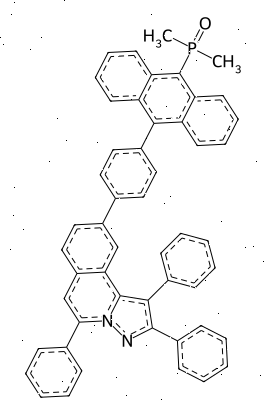 CP(C)(=O)c1c2ccccc2c(-c2ccc(-c3ccc4cc(-c5ccccc5)n5nc(-c6ccccc6)c(-c6ccccc6)c5c4c3)cc2)c2ccccc12